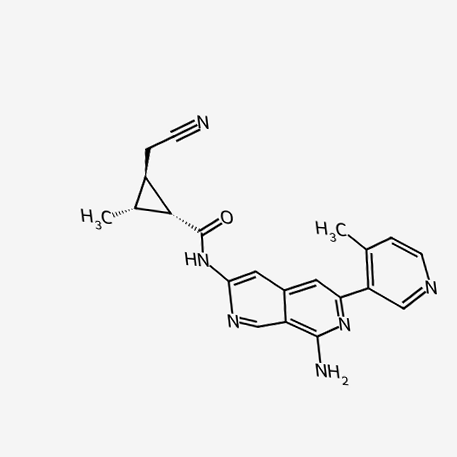 Cc1ccncc1-c1cc2cc(NC(=O)[C@@H]3[C@H](C)[C@H]3CC#N)ncc2c(N)n1